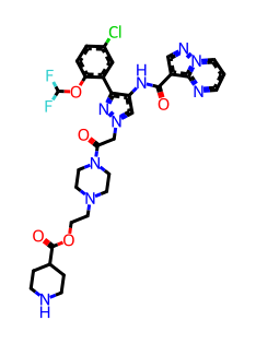 O=C(Nc1cn(CC(=O)N2CCN(CCOC(=O)C3CCNCC3)CC2)nc1-c1cc(Cl)ccc1OC(F)F)c1cnn2cccnc12